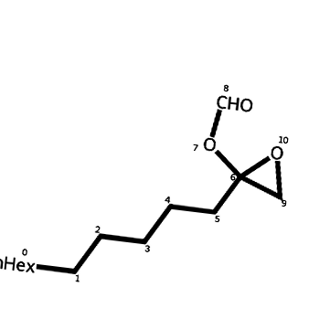 CCCCCCCCCCCC1(OC=O)CO1